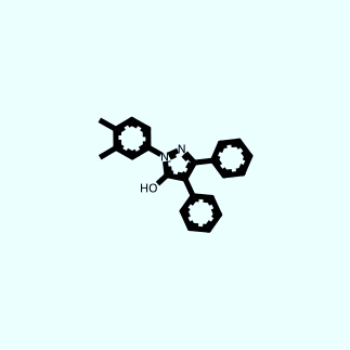 Cc1ccc(-n2nc(-c3ccccc3)c(-c3ccccc3)c2O)cc1C